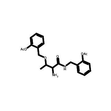 CC(=O)Oc1ccccc1CNC(=O)C(N)C(C)OCc1ccccc1OC(C)=O